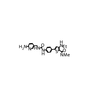 CCNc1cc(-c2ccc(NC(=O)NCc3ccc(N)nc3)cc2)sc1C(=O)NC